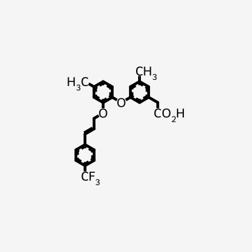 Cc1cc(CC(=O)O)cc(Oc2ccc(C)cc2OCC=Cc2ccc(C(F)(F)F)cc2)c1